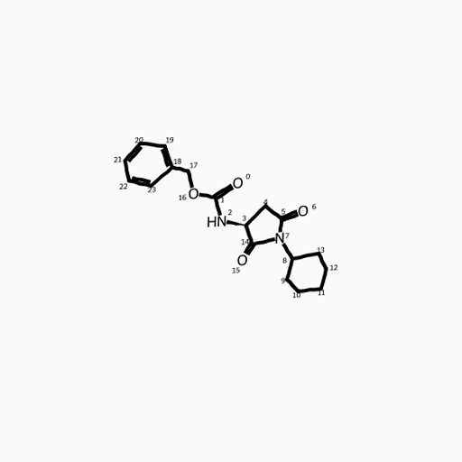 O=C(N[C@H]1CC(=O)N(C2CCCCC2)C1=O)OCc1ccccc1